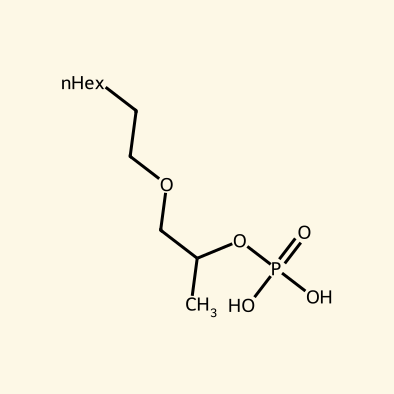 CCCCCCCCOCC(C)OP(=O)(O)O